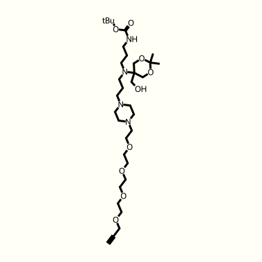 C#CCOCCOCCOCCOCCN1CCN(CCCN(CCCNC(=O)OC(C)(C)C)C2(CO)COC(C)(C)OC2)CC1